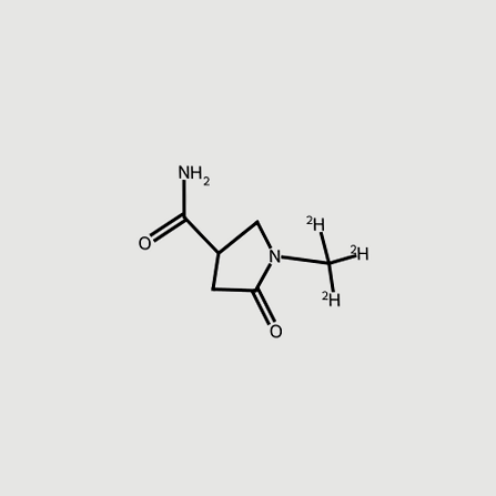 [2H]C([2H])([2H])N1CC(C(N)=O)CC1=O